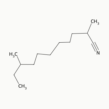 CCC(C)CCCCCCC(C)C#N